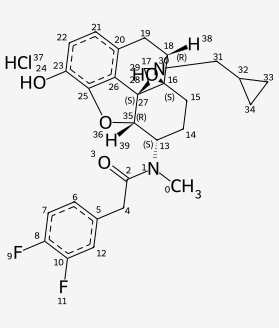 CN(C(=O)Cc1ccc(F)c(F)c1)[C@H]1CC[C@@]2(O)[C@H]3Cc4ccc(O)c5c4[C@@]2(CCN3CC2CC2)[C@H]1O5.Cl